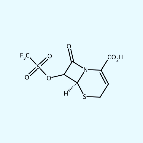 O=C(O)C1=CCS[C@H]2C(OS(=O)(=O)C(F)(F)F)C(=O)N12